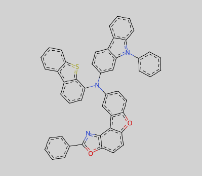 c1ccc(-c2nc3c(ccc4oc5ccc(N(c6ccc7c8ccccc8n(-c8ccccc8)c7c6)c6cccc7c6sc6ccccc67)cc5c43)o2)cc1